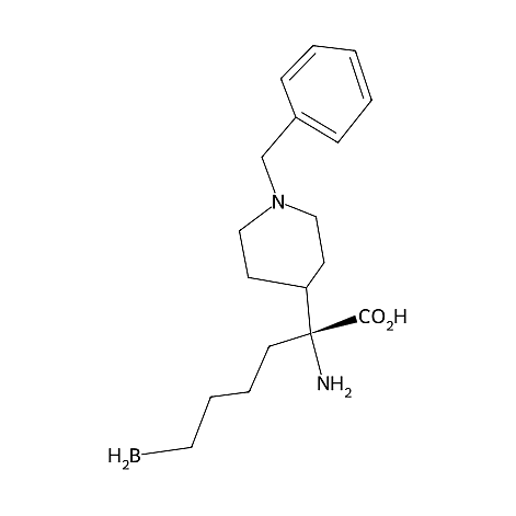 BCCCC[C@](N)(C(=O)O)C1CCN(Cc2ccccc2)CC1